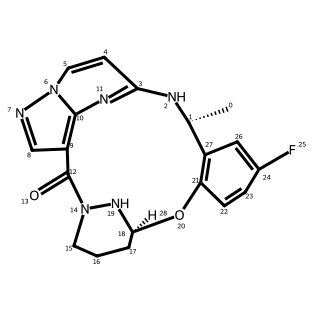 C[C@H]1Nc2ccn3ncc(c3n2)C(=O)N2CCC[C@@H](N2)Oc2ccc(F)cc21